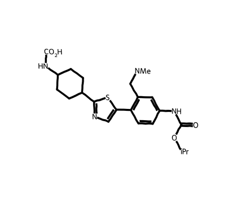 CNCc1cc(NC(=O)OC(C)C)ccc1-c1cnc(C2CCC(NC(=O)O)CC2)s1